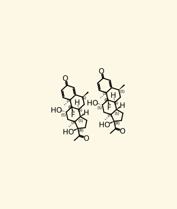 CC(=O)[C@@]1(O)CC[C@H]2[C@@H]3C[C@H](C)C4=CC(=O)C=C[C@]4(C)[C@@]3(F)[C@@H](O)C[C@@]21C.CC(=O)[C@@]1(O)CC[C@H]2[C@@H]3C[C@H](C)C4=CC(=O)C=C[C@]4(C)[C@@]3(F)[C@@H](O)C[C@@]21C